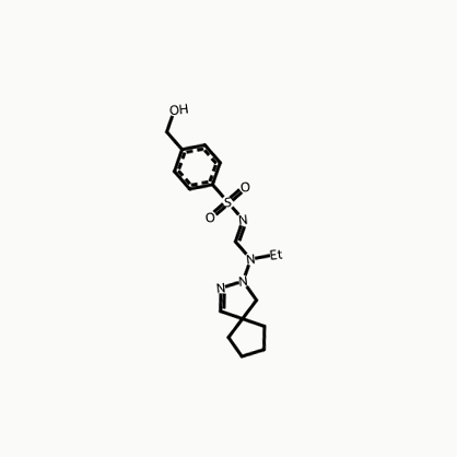 CCN(C=NS(=O)(=O)c1ccc(CO)cc1)N1CC2(C=N1)CCCC2